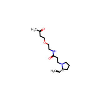 C=C[C@@H]1CCCN1CCC(=O)NCCOCCC(C)=O